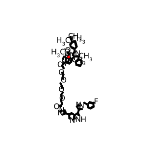 CCOc1cc(C(C)(C)C)ccc1C1=N[C@](C)(c2ccccc2)[C@](C)(c2ccc(Cl)cc2)N1C(=O)N1CCN(CCOCCOCCOCCOCCC(=O)n2cc(-c3cnc4[nH]cc(-c5cnn(Cc6cccc(F)c6)c5)c4c3)cn2)CC1